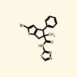 CC1(C(=O)Nc2nncs2)Cc2sc(Br)cc2C1c1ccccc1